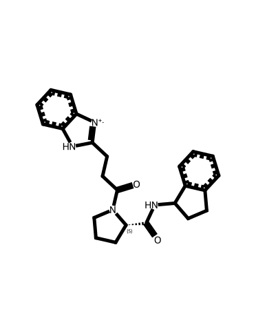 O=C(NC1CCc2ccccc21)[C@@H]1CCCN1C(=O)CCC1=[N+]c2ccccc2N1